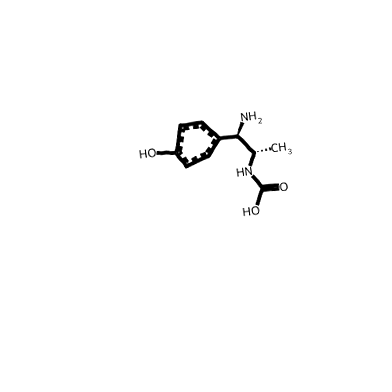 C[C@H](NC(=O)O)[C@H](N)c1ccc(O)cc1